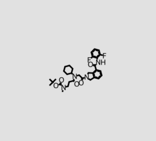 CN(CCC(=O)N(CC(=O)N1Cc2cccc(C(=O)Nc3c(F)cccc3F)c2C1)C1CCCCC1)C(=O)OC(C)(C)C